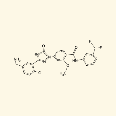 COc1cc(-n2nc(-c3cc(CN)ccc3Cl)[nH]c2=O)ccc1C(=O)Nc1cccc(C(F)F)c1